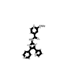 COc1cc(C(=O)Nc2nc(-c3ccco3)c(-c3ccncc3)s2)ccn1